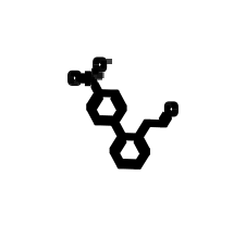 O=CCc1ccccc1-c1ccc([N+](=O)[O-])cc1